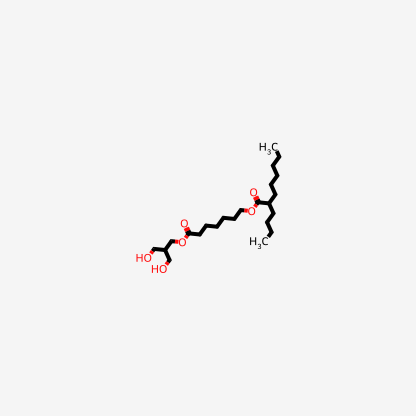 CCCCCCC(CCCC)C(=O)OCCCCCCC(=O)OCC(CO)CO